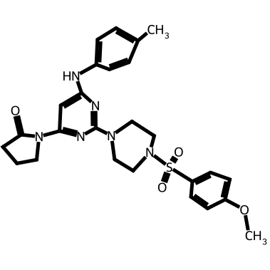 COc1ccc(S(=O)(=O)N2CCN(c3nc(Nc4ccc(C)cc4)cc(N4CCCC4=O)n3)CC2)cc1